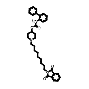 O=C(Nc1ccccc1-c1ccccc1)OC1CCN(CCCCCCCCCN2C(=O)c3ccccc3C2=O)CC1